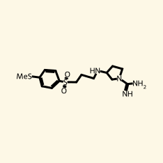 CSc1ccc(S(=O)(=O)CCCNC2CCN(C(=N)N)C2)cc1